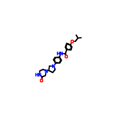 CC(C)COc1ccc(C(=O)Nc2ccc(N3CCC(N4CCNC(=O)C4)C3)cc2)cc1